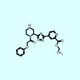 CCOC(=O)c1cc(-c2noc(C3CNCCN3C(=O)COc3ccccc3)n2)ccn1